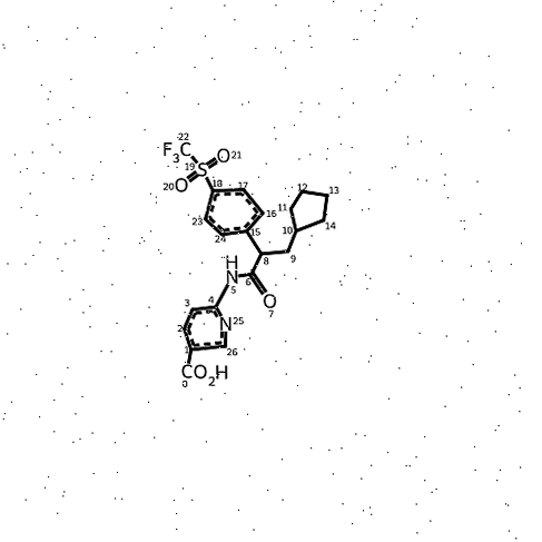 O=C(O)c1ccc(NC(=O)C(CC2CCCC2)c2ccc(S(=O)(=O)C(F)(F)F)cc2)nc1